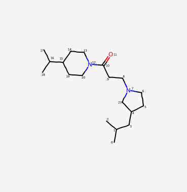 CC(C)CC1CCN(CCC(=O)N2CCC(C(C)C)CC2)C1